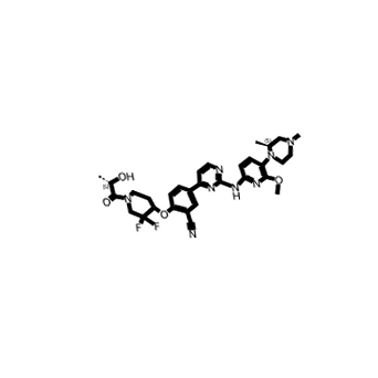 COc1nc(Nc2nccc(-c3ccc(OC4CCN(C(=O)[C@H](C)O)CC4(F)F)c(C#N)c3)n2)ccc1N1CCN(C)C[C@@H]1C